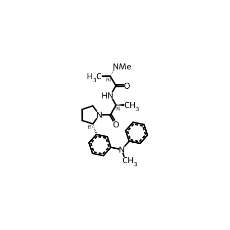 CN[C@@H](C)C(=O)N[C@@H](C)C(=O)N1CCC[C@H]1c1cccc(N(C)c2ccccc2)c1